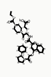 CCOC(=O)N1CCN(C(=O)[C@H](CCC(=O)O)NC(=O)c2cc(OCC(=O)N3CCC[C@H]3c3ccccc3)c3ccccc3n2)CC1